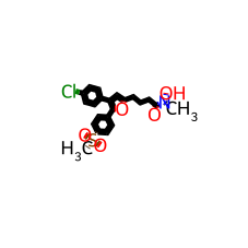 CN(O)C(=O)CCCc1cc(-c2ccc(Cl)cc2)c(-c2ccc(S(C)(=O)=O)cc2)o1